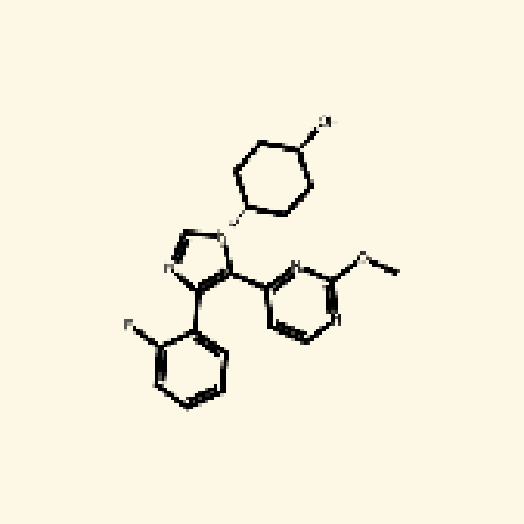 COc1nccc(-c2c(-c3ccccc3F)ncn2[C@H]2CC[C@H](O)CC2)n1